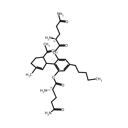 C=C(C)C1CCC(C)=CC1c1c(OC(=O)[C@@H](N)CCC(N)=O)cc(CCCCC)cc1OC(=O)[C@@H](N)CCC(N)=O